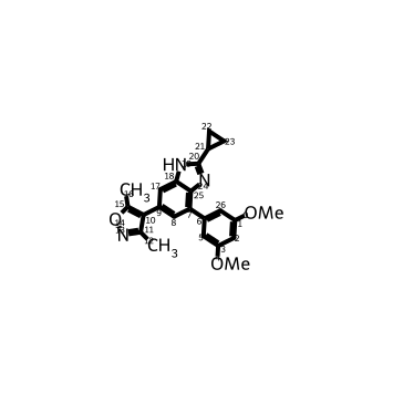 COc1cc(OC)cc(-c2cc(-c3c(C)noc3C)cc3[nH]c(C4CC4)nc23)c1